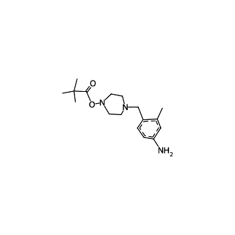 Cc1cc(N)ccc1CN1CCN(OC(=O)C(C)(C)C)CC1